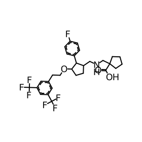 O=C(O)C1(CNCC2CCC(OCCc3cc(C(F)(F)F)cc(C(F)(F)F)c3)C2c2ccc(F)cc2)CCCC1